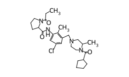 CCC(=O)N1CCCC1C(=O)Nc1cc(Cl)cc(CN2CCN(C(=O)C3CCCC3)C(C)C2)c1C